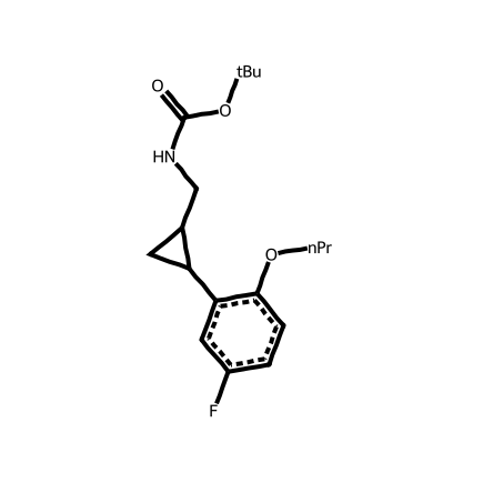 CCCOc1ccc(F)cc1C1CC1CNC(=O)OC(C)(C)C